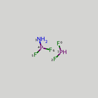 FPF.NP(F)F